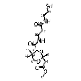 COC(=O)CC1(C)OCC(C)(C)[C@H](C(=O)NCCC(=O)NCCS)O1